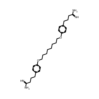 N=C(N)CCCc1ccc(OCCCCCCCCOc2ccc(CCCC(=N)N)cc2)cc1